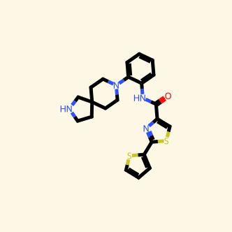 O=C(Nc1ccccc1N1CCC2(CCNC2)CC1)c1csc(-c2cccs2)n1